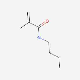 C=C(C)C(=O)[N]CCCC